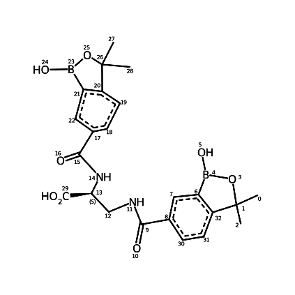 CC1(C)OB(O)c2cc(C(=O)NC[C@H](NC(=O)c3ccc4c(c3)B(O)OC4(C)C)C(=O)O)ccc21